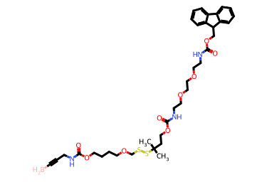 BC#CCNC(=O)OCCCCOCSSC(C)(C)CCOC(=O)NCCOCCOCCNC(=O)OCC1c2ccccc2-c2ccccc21